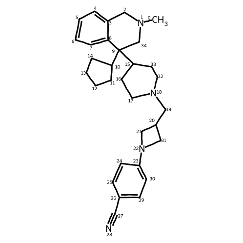 CN1Cc2ccccc2C(C2CCCC2)(C2CCN(CC3CN(c4ccc(C#N)cc4)C3)CC2)C1